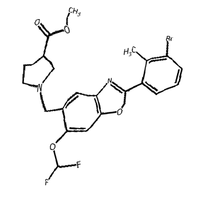 COC(=O)C1CCN(Cc2cc3nc(-c4cccc(Br)c4C)oc3cc2OC(F)F)C1